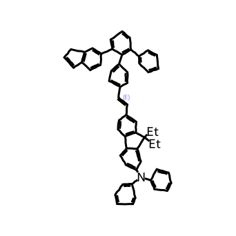 CCC1(CC)c2cc(/C=C/c3ccc(-c4c(-c5ccccc5)cccc4-c4ccc5c(c4)CC=C5)cc3)ccc2-c2ccc(N(c3ccccc3)c3ccccc3)cc21